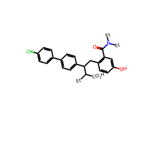 CCC(C(=O)O)C(Cc1ccc(O)cc1C(=O)N(CC)CC)c1ccc(-c2ccc(Cl)cc2)cc1